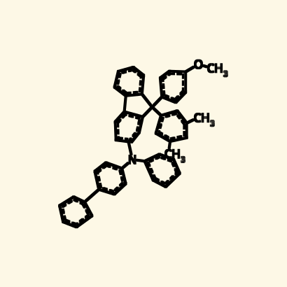 COc1ccc(C2(c3cc(C)cc(C)c3)c3ccccc3-c3ccc(N(c4ccccc4)c4ccc(-c5ccccc5)cc4)cc32)cc1